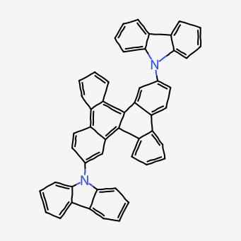 c1ccc2c(c1)c1ccc(-n3c4ccccc4c4ccccc43)cc1c1c3ccccc3c3ccc(-n4c5ccccc5c5ccccc54)cc3c21